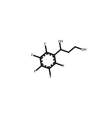 OCCC(O)c1c(F)c(F)c(F)c(F)c1F